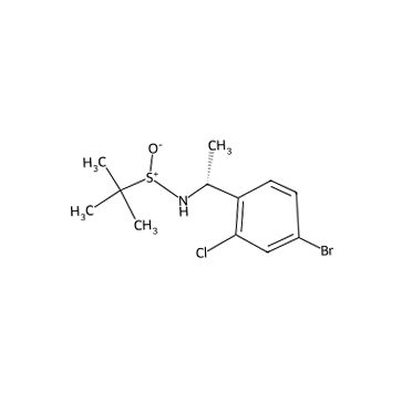 C[C@@H](N[S+]([O-])C(C)(C)C)c1ccc(Br)cc1Cl